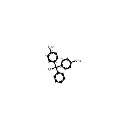 CC(=O)Oc1ccc(C(C)(c2ccccc2)c2ccc(OC(C)=O)cc2)cc1